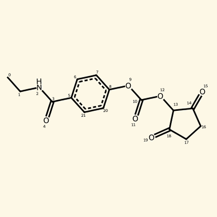 CCNC(=O)c1ccc(OC(=O)OC2C(=O)CCC2=O)cc1